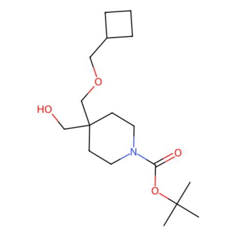 CC(C)(C)OC(=O)N1CCC(CO)(COCC2CCC2)CC1